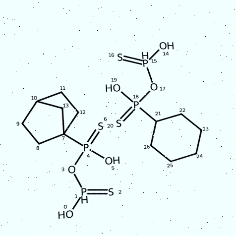 O[PH](=S)OP(O)(=S)C12CCC(CC1)C2.O[PH](=S)OP(O)(=S)C1CCCCC1